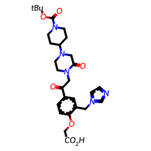 CC(C)(C)OC(=O)N1CCC(N2CCN(CC(=O)c3ccc(OCC(=O)O)c(Cn4ccnc4)c3)C(=O)C2)CC1